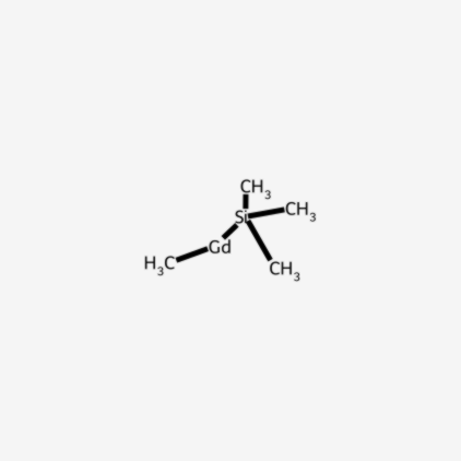 [CH3][Gd][Si](C)(C)C